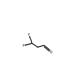 O=CC[C](F)F